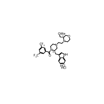 COC[C@H]1COCCN1CCN1CCN(C(=O)c2cc(C(F)(F)F)cc(C(F)(F)F)c2)[C@H](Cc2c[nH]c3ccccc23)C1.Cl.Cl